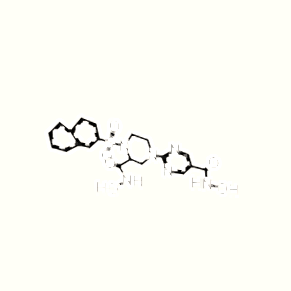 O=C(NO)c1cnc(N2CCN(S(=O)(=O)c3ccc4ccccc4c3)C(C(=O)NO)C2)nc1